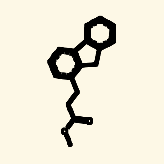 COC(=O)CCc1cccc2c1Cc1ccccc1-2